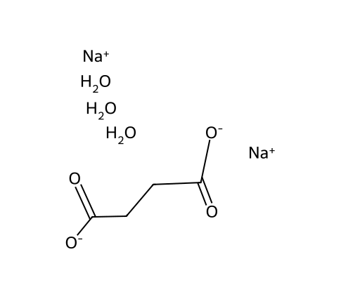 O.O.O.O=C([O-])CCC(=O)[O-].[Na+].[Na+]